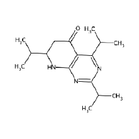 CC(C)c1nc2c(c(C(C)C)n1)C(=O)CC(C(C)C)N2